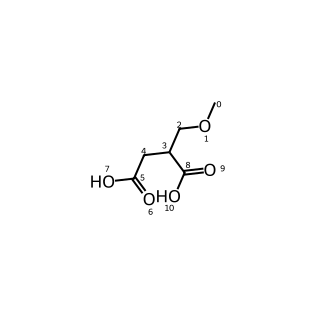 COCC(CC(=O)O)C(=O)O